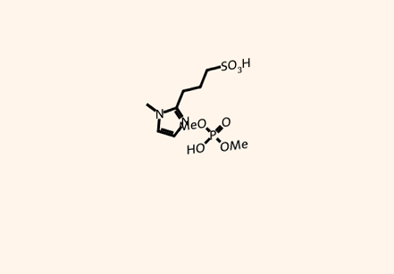 COP(=O)(O)OC.Cn1ccnc1CCCS(=O)(=O)O